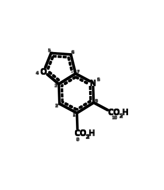 O=C(O)c1cc2occc2nc1C(=O)O